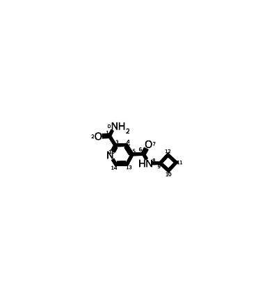 NC(=O)c1[c]c(C(=O)NC2CCC2)ccn1